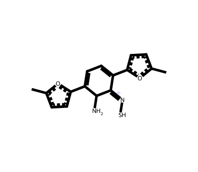 Cc1ccc(C2=CC=C(c3ccc(C)o3)C(N)/C2=N\S)o1